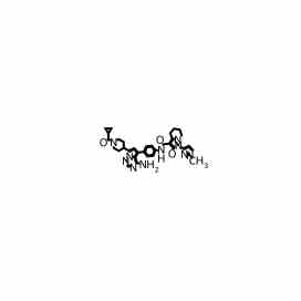 Cn1ccc(-n2c(=O)c(C(=O)Nc3ccc(-c4cc(C5CCN(C(=O)C6CC6)CC5)n5ncnc(N)c45)cc3)c3n2CCCC3)n1